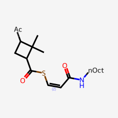 CCCCCCCCNC(=O)/C=C\SC(=O)C1CC(C(C)=O)C1(C)C